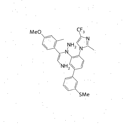 COc1ccc(/C(=C/N)N(N)c2cc(-c3cccc(SC)c3)ccc2-n2cc(C(F)(F)F)nc2C)c(C)c1